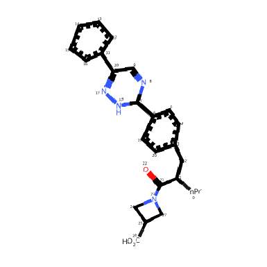 CCCC(Cc1ccc(C2N=CC(c3ccccc3)=NN2)cc1)C(=O)N1CC(C(=O)O)C1